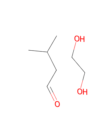 CC(C)CC=O.OCCO